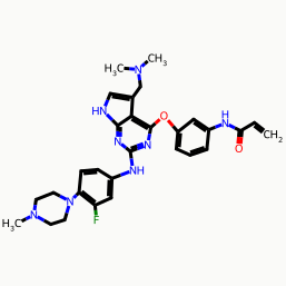 C=CC(=O)Nc1cccc(Oc2nc(Nc3ccc(N4CCN(C)CC4)c(F)c3)nc3[nH]cc(CN(C)C)c23)c1